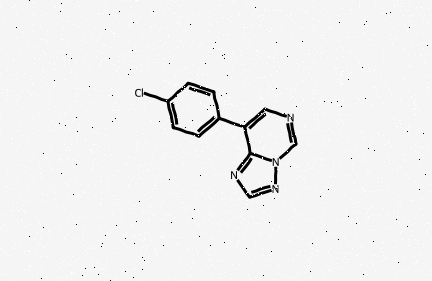 Clc1ccc(-c2cncn3ncnc23)cc1